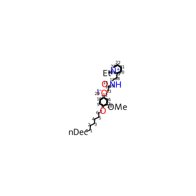 CCCCCCCCCCCCCCCCOc1ccc(OCC(=O)NCCc2cccc[n+]2CC)cc1OC.[I-]